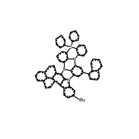 CC(C)(C)c1ccc2c3c4ccc5cccc6ccc(c7c3n(c2c1)-c1cc(-c2cccc3ccccc23)cc2c1B7c1cccc3c1N2c1ccccc1S3(c1ccccc1)c1ccccc1)c4c65